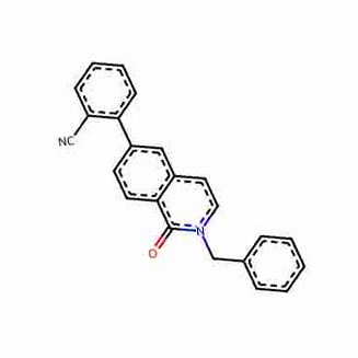 N#Cc1ccccc1-c1ccc2c(=O)n(Cc3ccccc3)ccc2c1